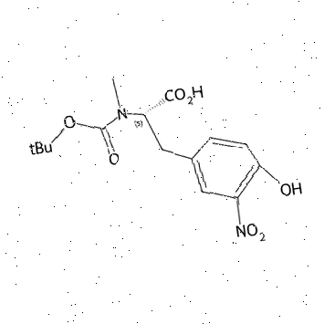 CN(C(=O)OC(C)(C)C)[C@@H](Cc1ccc(O)c([N+](=O)[O-])c1)C(=O)O